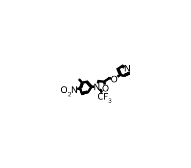 Cc1cc(N2CC(COc3ccncc3)OC2C(F)(F)F)ccc1[N+](=O)[O-]